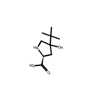 CC(C)(C)C1(O)CN[C@H](C(=O)O)C1